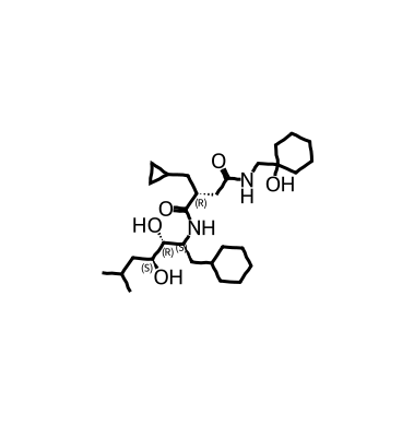 CC(C)C[C@H](O)[C@H](O)[C@H](CC1CCCCC1)NC(=O)[C@@H](CC(=O)NCC1(O)CCCCC1)CC1CC1